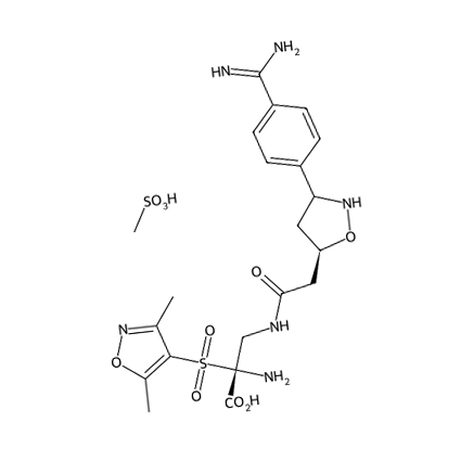 CS(=O)(=O)O.Cc1noc(C)c1S(=O)(=O)[C@@](N)(CNC(=O)C[C@H]1CC(c2ccc(C(=N)N)cc2)NO1)C(=O)O